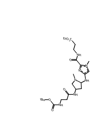 CCOC(=O)CCNC(=O)c1nc(NC2CC(NC(=O)CCNC(=O)OC(C)(C)C)CN2C)cn1C